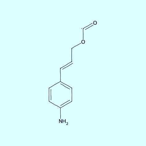 Nc1ccc(/C=C/CO[C]=O)cc1